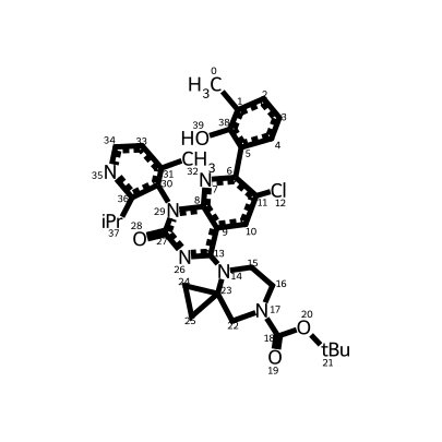 Cc1cccc(-c2nc3c(cc2Cl)c(N2CCN(C(=O)OC(C)(C)C)CC24CC4)nc(=O)n3-c2c(C)ccnc2C(C)C)c1O